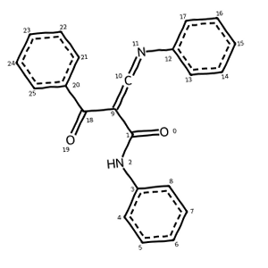 O=C(Nc1ccccc1)C(=C=Nc1ccccc1)C(=O)c1ccccc1